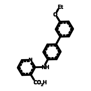 CCOc1cccc(-c2ccc(Nc3ncccc3C(=O)O)cc2)c1